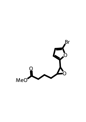 COC(=O)CCCC1OC1c1ccc(Br)o1